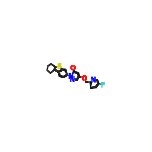 O=c1cc(OCc2ccc(F)cn2)cnn1-c1ccc2c3c(sc2c1)CCCC3